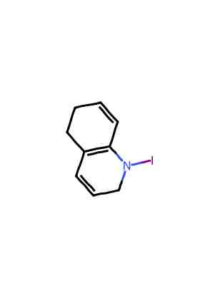 IN1CC=CC2=C1C=CCC2